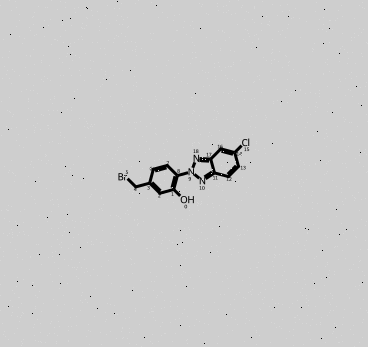 Oc1cc(CBr)ccc1-n1nc2ccc(Cl)cc2n1